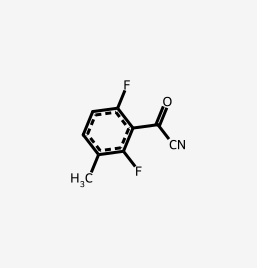 Cc1ccc(F)c(C(=O)C#N)c1F